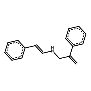 C=C(CNC=Cc1ccccc1)c1ccccc1